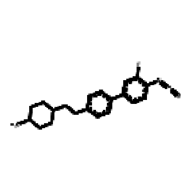 CC1CCC(CCc2ccc(-c3ccc(N=C=S)c(F)c3)cc2)CC1